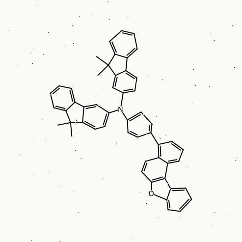 CC1(C)c2ccccc2-c2cc(N(c3ccc(-c4cccc5c4ccc4oc6ccccc6c45)cc3)c3ccc4c(c3)C(C)(C)c3ccccc3-4)ccc21